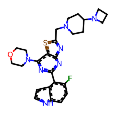 Fc1ccc2[nH]ccc2c1-c1nc(N2CCOCC2)c2sc(CN3CCC(N4CCC4)CC3)nc2n1